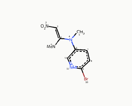 CN/C(=C\[N+](=O)[O-])N(C)c1ccc(Br)nc1